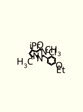 CCOc1ccc(-c2nn3c(C)cc(C(C)C)c3c(=O)n2C)c(Cl)c1